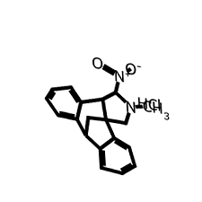 CN1CC23CC(c4ccccc4C2C1[N+](=O)[O-])c1ccccc13.Cl